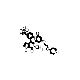 CCS(=O)(=O)Nc1ccc(-n2ccc(OCCOC3CCNCC3)cc2=O)c(-c2cn(C)c(=O)c3[nH]ccc23)c1